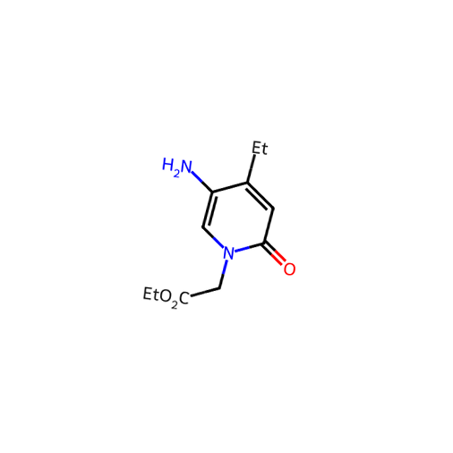 CCOC(=O)Cn1cc(N)c(CC)cc1=O